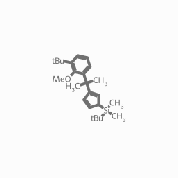 COc1c(C(C)(C)C)cccc1C(C)(C)C1=CC([Si](C)(C)C(C)(C)C)C=C1